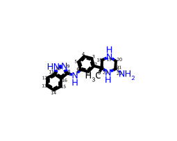 CC1(c2cccc(Nc3n[nH]c4ccccc34)c2)CNC[C@H](N)N1